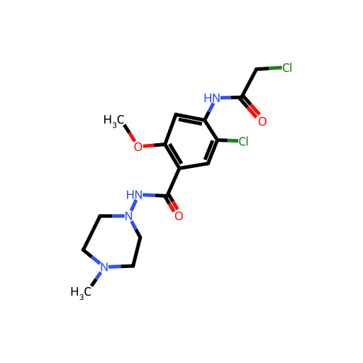 COc1cc(NC(=O)CCl)c(Cl)cc1C(=O)NN1CCN(C)CC1